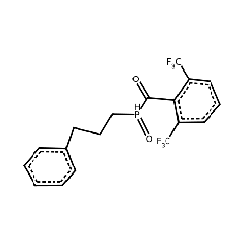 O=C(c1c(C(F)(F)F)cccc1C(F)(F)F)[PH](=O)CCCc1ccccc1